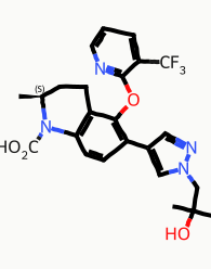 C[C@H]1CCc2c(ccc(-c3cnn(CC(C)(C)O)c3)c2Oc2ncccc2C(F)(F)F)N1C(=O)O